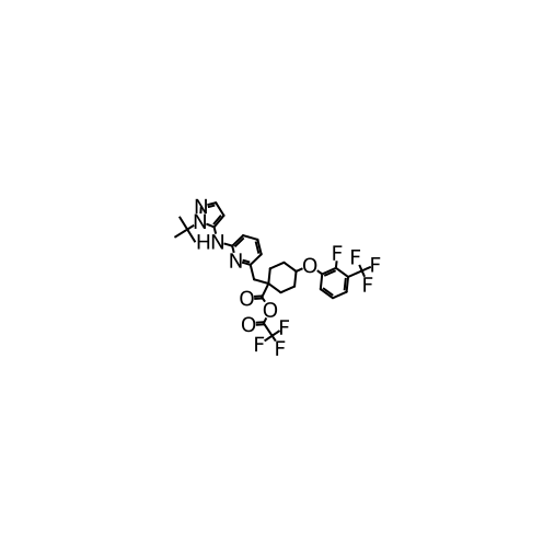 CC(C)(C)n1nccc1Nc1cccc(CC2(C(=O)OC(=O)C(F)(F)F)CCC(Oc3cccc(C(F)(F)F)c3F)CC2)n1